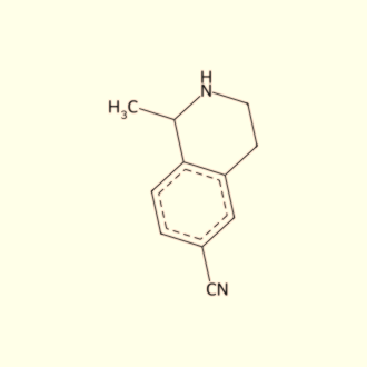 CC1NCCc2cc(C#N)ccc21